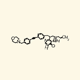 C=CCNCC(Cc1ccc(C#Cc2ccc(CN3CCOCC3)cc2)cc1)c1nc[nH]c(=O)c1O